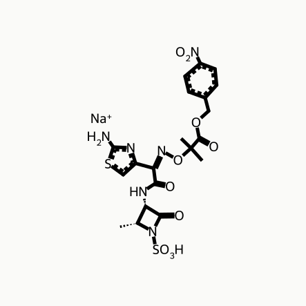 C[C@@H]1[C@H](NC(=O)C(=NOC(C)(C)C(=O)OCc2ccc([N+](=O)[O-])cc2)c2csc(N)n2)C(=O)N1S(=O)(=O)O.[Na+]